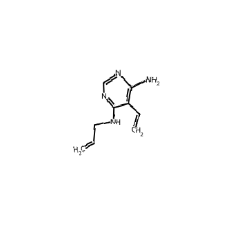 C=CCNc1ncnc(N)c1C=C